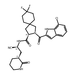 N#C[C@H](C[C@@H]1CCCNC1=O)NC(=O)[C@H]1CC2(CCC(F)(F)CC2)CN1C(=O)c1cc2cccc(Cl)c2[nH]1